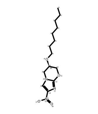 CCCCCCCCO[C@H]1COc2nc([N+](=O)[O-])cn2C1